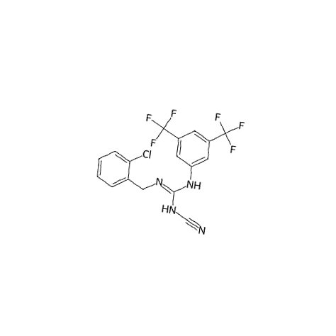 N#CN/C(=N\Cc1ccccc1Cl)Nc1cc(C(F)(F)F)cc(C(F)(F)F)c1